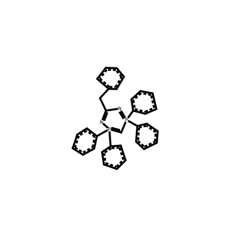 C1=P(c2ccccc2)(c2ccccc2)N=C(Cc2ccccc2)N=P1(c1ccccc1)c1ccccc1